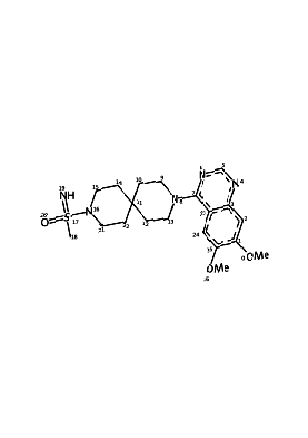 COc1cc2ncnc(N3CCC4(CC3)CCN(S(C)(=N)=O)CC4)c2cc1OC